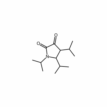 CC(C)C1C(=O)C(=O)N(C(C)C)C1C(C)C